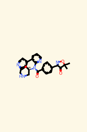 CC1(C)ON=C(c2ccc(C(=O)N(c3ncccc3-c3ccncc3)[C@@H]3CCCNC3)cc2)C1=O